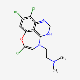 CN(C)CCN1C=C(Cl)Oc2cc(Br)c(Cl)c3c2=C1NCN=3